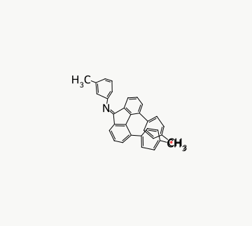 Cc1ccc(-c2cccc3c2-c2c(cccc2-c2ccc(C)cc2)C3=Nc2cccc(C)c2)cc1